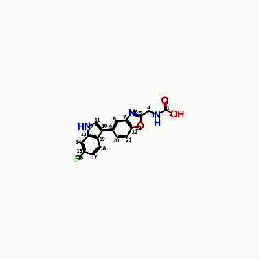 O=C(O)NCc1nc2cc(-c3c[nH]c4cc(F)ccc34)ccc2o1